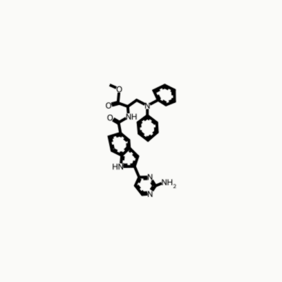 COC(=O)C(CN(c1ccccc1)c1ccccc1)NC(=O)c1ccc2[nH]c(-c3ccnc(N)n3)cc2c1